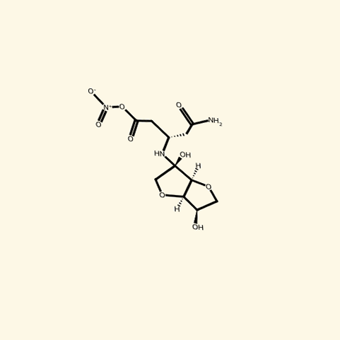 NC(=O)C[C@@H](CC(=O)O[N+](=O)[O-])N[C@@]1(O)CO[C@@H]2[C@H](O)CO[C@@H]21